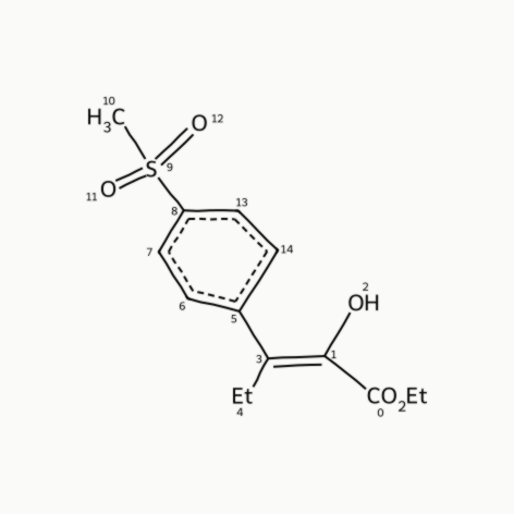 CCOC(=O)/C(O)=C(\CC)c1ccc(S(C)(=O)=O)cc1